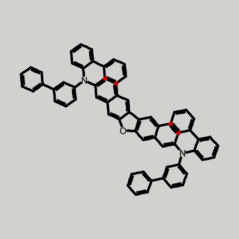 c1ccc(-c2cccc(N(c3ccc4cc5c(cc4c3)oc3cc4cc(N(c6cccc(-c7ccccc7)c6)c6ccccc6-c6ccccc6)ccc4cc35)c3ccccc3-c3ccccc3)c2)cc1